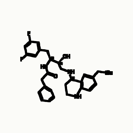 CC(C)(C)Cc1ccc2c(c1)[C@@H](NC[C@@H](O)[C@H](Cc1cc(F)cc(F)c1)NC(=O)Cc1ccccc1)CCN2